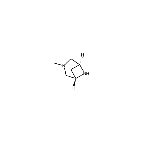 CN1C[C@@H]2C[C@@H](C1)N2